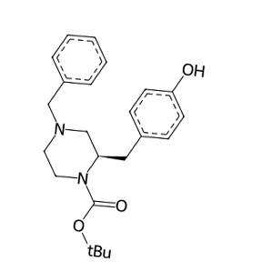 CC(C)(C)OC(=O)N1CCN(Cc2ccccc2)C[C@H]1Cc1ccc(O)cc1